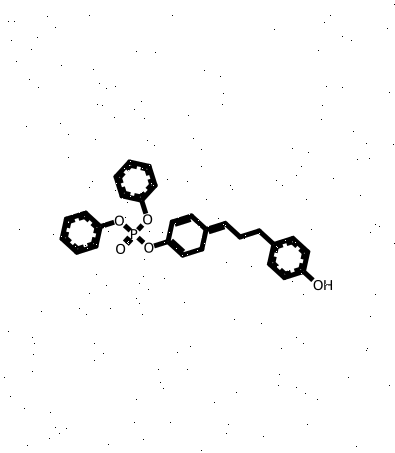 O=P(OC1=CCC(=CCCc2ccc(O)cc2)C=C1)(Oc1ccccc1)Oc1ccccc1